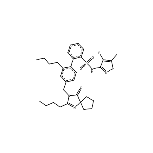 CCCCC1=NC2(CCCC2)C(=O)N1Cc1ccc(-c2ncccc2S(=O)(=O)NC2=NCC(C)=C2F)c(CCCC)c1